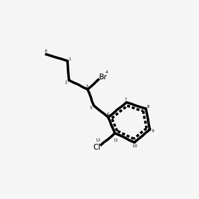 CCCC(Br)Cc1ccccc1Cl